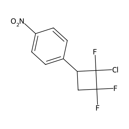 O=[N+]([O-])c1ccc(C2CC(F)(F)C2(F)Cl)cc1